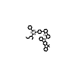 C=C/C(=C\C=C/C)c1nc(-c2ccccc2)nc(-c2ccc(-c3cccc4c3oc3c(-n5c6ccccc6c6cc7c(cc65)C(C)(C)c5ccccc5-7)cccc34)cc2)n1